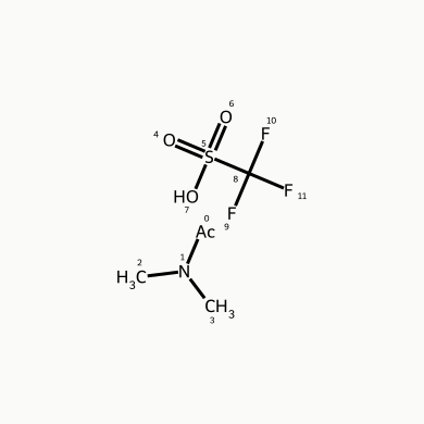 CC(=O)N(C)C.O=S(=O)(O)C(F)(F)F